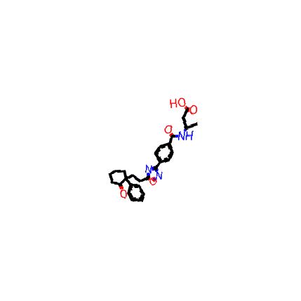 CC(CC(=O)O)NC(=O)c1ccc(-c2noc(CCC3(c4ccccc4)CCCCC3=O)n2)cc1